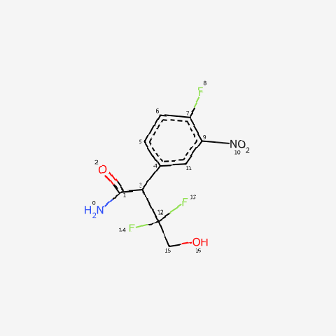 NC(=O)[C](c1ccc(F)c([N+](=O)[O-])c1)C(F)(F)CO